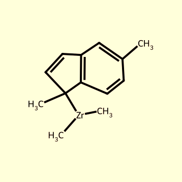 Cc1ccc2c(c1)C=C[C]2(C)[Zr]([CH3])[CH3]